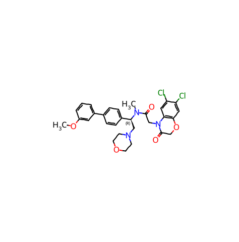 COc1cccc(-c2ccc([C@H](CN3CCOCC3)N(C)C(=O)CN3C(=O)COc4cc(Cl)c(Cl)cc43)cc2)c1